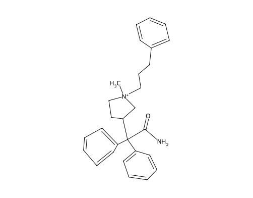 C[N+]1(CCCc2ccccc2)CCC(C(C(N)=O)(c2ccccc2)c2ccccc2)C1